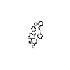 O=C1CCC(N2Cc3cc(O[C@@H]4CCC[C@H]4OCc4ccccc4)ccc3C2=O)C(=O)N1